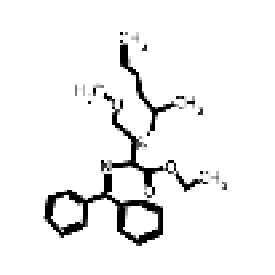 C=CCCC(C)C[C@@H](COC)C(N=C(c1ccccc1)c1ccccc1)C(=O)OCC